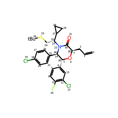 C=CC[C@H]1O[C@H](c2ccc(F)c(Cl)c2)[C@@H](c2ccc(Cl)cc2)N([C@H](CSC(C)(C)C)C2CC2)C1=O